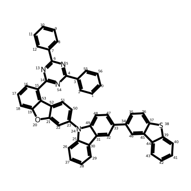 c1ccc(-c2nc(-c3ccccc3)nc(-c3cccc4oc5cc(-n6c7ccccc7c7cc(-c8ccc9sc%10ccccc%10c9c8)ccc76)ccc5c34)n2)cc1